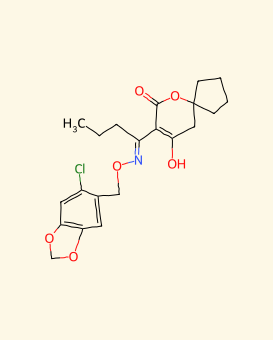 CCCC(=NOCc1cc2c(cc1Cl)OCO2)C1=C(O)CC2(CCCC2)OC1=O